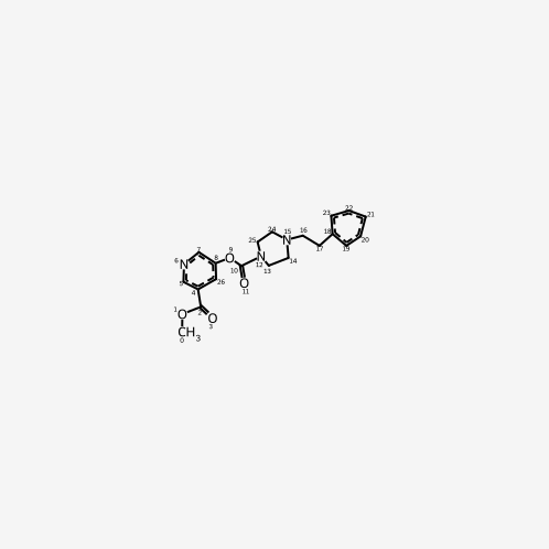 COC(=O)c1cncc(OC(=O)N2CCN(CCc3ccccc3)CC2)c1